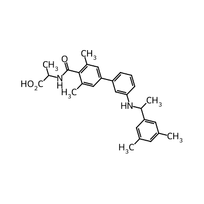 Cc1cc(C)cc(C(C)Nc2cccc(-c3cc(C)c(C(=O)NC(C)C(=O)O)c(C)c3)c2)c1